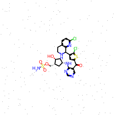 NS(=O)(=O)OC[C@H]1C[C@@H](Nc2ncncc2C(=O)c2cc(C3NCCc4ccc(Cl)nc43)c(Cl)s2)C[C@@H]1O